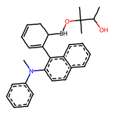 CC(O)C(C)(C)OBC1CC=CC=C1c1c(N(C)c2ccccc2)ccc2ccccc12